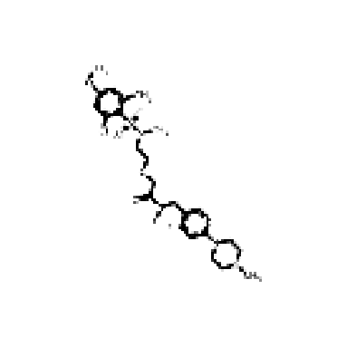 COc1cc(C)c(S(=O)(=O)N(C)CCOCC(=O)N(C)Cc2ccc(N3CCN(C)CC3)nc2)c(C)c1